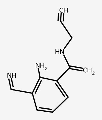 C#CCNC(=C)c1cccc(C=N)c1N